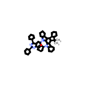 CC1(C)c2ccccc2-c2c1c1c3ccccc3n(-c3ccccc3)c1c1c2c2ccccc2n1-c1ccc2nc(-c3ccccc3)nc(-c3ccccc3)c2c1